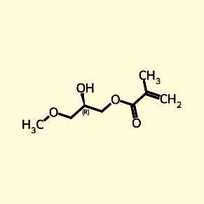 C=C(C)C(=O)OC[C@H](O)COC